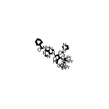 CC(C)[Si]1(C(C)C)OC[C@H]2O[C@@H](n3cnc4c(NC(=O)c5ccccc5)ncnc43)[C@@H](OC(=S)n3ccnc3)C2O[Si](C(C)C)(C(C)C)O1